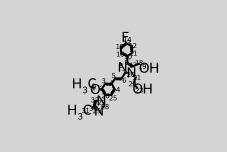 COc1cc(/C=C/c2nc(-c3ccc(F)cc3)c(CO)n2CCO)ccc1-n1cnc(C)c1